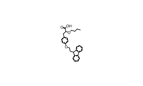 CCCCOC(Cc1ccc(OCCC2c3ccccc3-c3ccccc32)cc1)C(=O)O